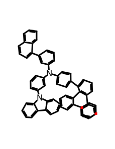 c1ccc(-c2ccccc2-c2c(-c3ccccc3)cccc2-c2ccc(N(c3cccc(-c4cccc5ccccc45)c3)c3cccc(-n4c5ccccc5c5ccccc54)c3)cc2)cc1